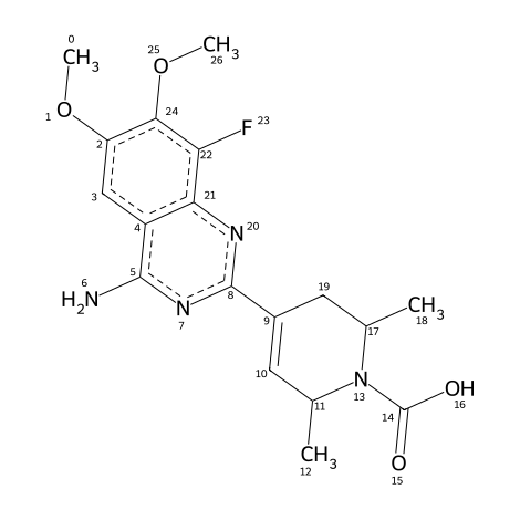 COc1cc2c(N)nc(C3=CC(C)N(C(=O)O)C(C)C3)nc2c(F)c1OC